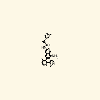 Cc1ccnc(-c2ccnn2C)c1-c1cc(N)c2cnc(NC(=O)[C@H]3C[C@@H]3C3C=NN(C)C3)cc2c1